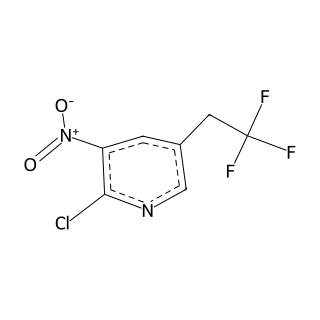 O=[N+]([O-])c1cc(CC(F)(F)F)cnc1Cl